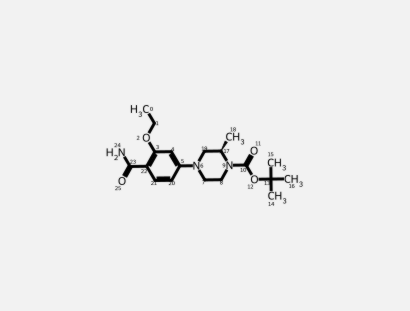 CCOc1cc(N2CCN(C(=O)OC(C)(C)C)[C@H](C)C2)ccc1C(N)=O